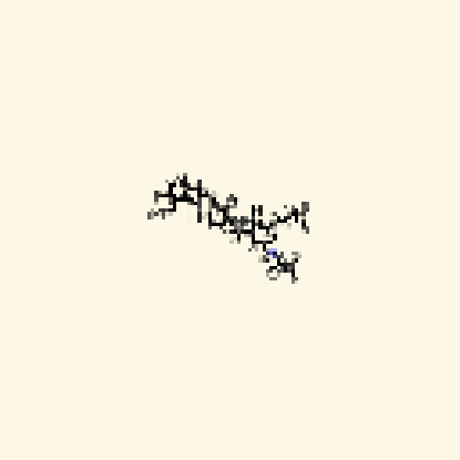 CC(C)Cc1c(F)cnc2cc(Cn3cccc(NC(=O)C(CC/C=C/C(=O)N(C)C)NC(=O)OCCN(C)C)c3=O)[nH]c12